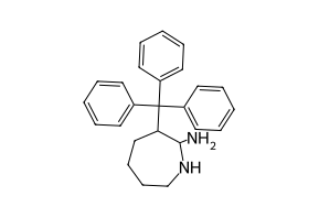 NC1NCCCCC1C(c1ccccc1)(c1ccccc1)c1ccccc1